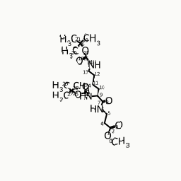 COC(=O)CCNC(=O)[C@H](CCCCNC(=O)OC(C)(C)C)NC(=O)OC(C)(C)C